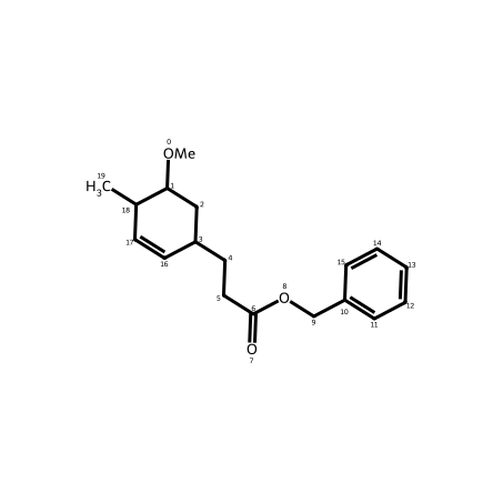 COC1CC(CCC(=O)OCc2ccccc2)C=CC1C